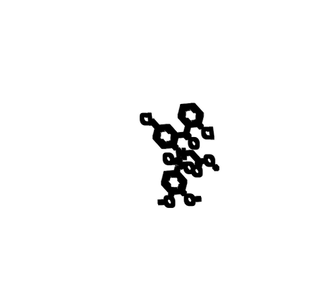 COC(=O)CN(c1ccc(Cl)cc1C(=O)c1ccccc1Cl)S(=O)(=O)c1ccc(OC)c(OC)c1